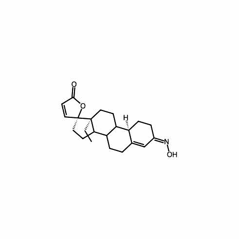 CC[C@]12CCC3C(CCC4=CC(=NO)CC[C@@H]43)C1CC[C@@]21C=CC(=O)O1